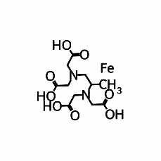 CC(CN(CC(=O)O)CC(=O)O)N(CC(=O)O)CC(=O)O.[Fe]